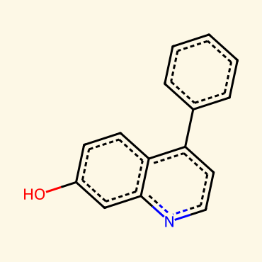 Oc1ccc2c(-c3ccccc3)ccnc2c1